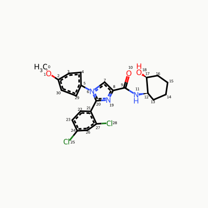 COc1ccc(-n2cc(C(=O)N[C@@H]3CCCC[C@@H]3O)nc2-c2ccc(Cl)cc2Cl)cc1